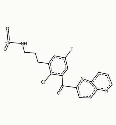 O=C(c1ccc2ncccc2n1)c1cc(F)cc(CCCN[SH](=O)=O)c1Cl